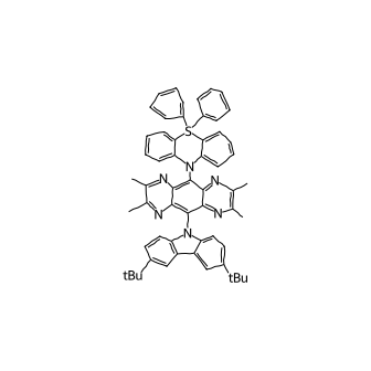 Cc1nc2c(N3c4ccccc4S(c4ccccc4)(c4ccccc4)c4ccccc43)c3nc(C)c(C)nc3c(-n3c4ccc(C(C)(C)C)cc4c4cc(C(C)(C)C)ccc43)c2nc1C